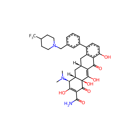 CN(C)[C@@H]1C(O)=C(C(N)=O)C(=O)[C@@]2(O)C(O)=C3C(=O)c4c(O)ccc(-c5cccc(CN6CCC(C(F)(F)F)CC6)c5)c4C[C@H]3C[C@@H]12